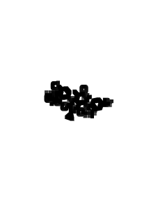 Cc1c(=O)n(C)c(Nc2ccc(Br)cc2F)c2c(=O)n(C3CC3)c(=O)n(-c3ccc(Cl)c(NS(C)(=O)=O)c3)c12